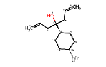 C=CCC(O)(CC=C)[C@H]1CC[C@H](CCC)CC1